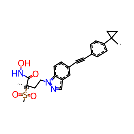 [CH2]C1(c2ccc(C#Cc3ccc4c(cnn4CC[C@](C)(C(=O)NO)S(C)(=O)=O)c3)cc2)CC1